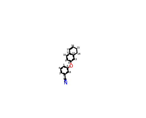 N#Cc1cccc(Oc2ccc3c(c2)CCC=C3)c1